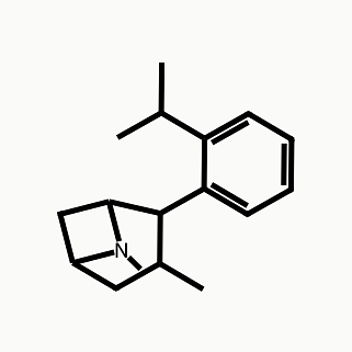 CC(C)c1ccccc1C1C(C)CC2CC1N2C